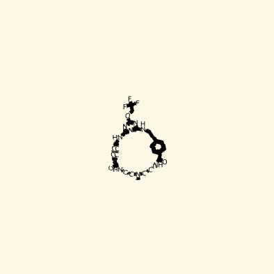 CN1CCNC(=O)c2ccc(cc2)CNc2nc(nc(OCC(F)(F)F)n2)Nc2ccc(cc2)C(=O)NCC1